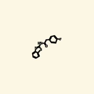 O=C(Cc1ccc(F)cc1)Nc1nc2ccccc2s1